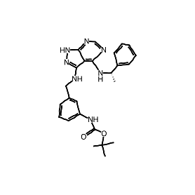 C[C@H](Nc1ncnc2[nH]nc(NCc3cccc(NC(=O)OC(C)(C)C)c3)c12)c1ccccc1